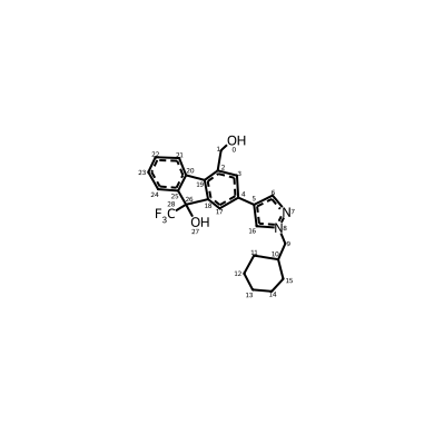 OCc1cc(-c2cnn(CC3CCCCC3)c2)cc2c1-c1ccccc1C2(O)C(F)(F)F